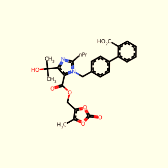 CCCc1nc(C(C)(C)O)c(C(=O)OCc2oc(=O)oc2C)n1Cc1ccc(-c2ccccc2C(=O)O)cc1